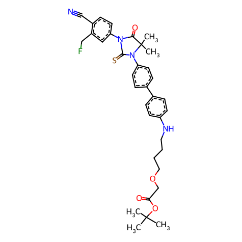 CC(C)(C)OC(=O)COCCCCNc1ccc(-c2ccc(N3C(=S)N(c4ccc(C#N)c(CF)c4)C(=O)C3(C)C)cc2)cc1